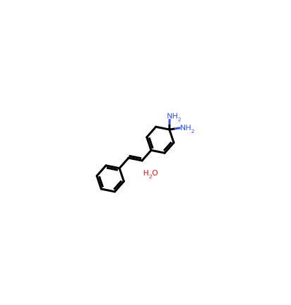 NC1(N)C=CC(C=Cc2ccccc2)=CC1.O